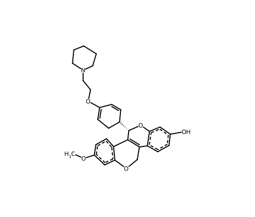 COc1ccc2c(c1)OCC1=C2[C@H](C2C=CC(OCCN3CCCCC3)=CC2)Oc2cc(O)ccc21